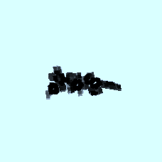 CCn1cc(C(=O)Nc2cc(F)c(Oc3ccnc4cc(OC)c5c(c34)OCCO5)cc2C)c(=O)n(-c2ccc(F)cc2)c1=O